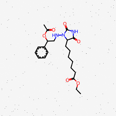 CCOC(=O)CCCCCCC1C(=O)NC(=O)N1NCC(OC(C)=O)c1ccccc1